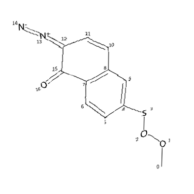 COOSc1ccc2c(c1)C=CC(=[N+]=[N-])C2=O